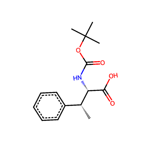 C[C@H](c1ccccc1)[C@H](NC(=O)OC(C)(C)C)C(=O)O